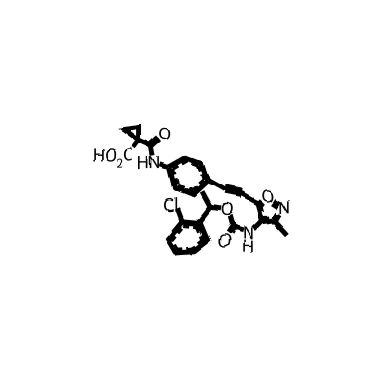 Cc1noc(C#Cc2ccc(NC(=O)C3(C(=O)O)CC3)cc2)c1NC(=O)OC(C)c1ccccc1Cl